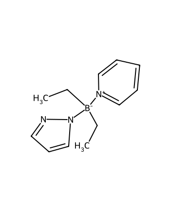 CC[B-](CC)(n1cccn1)[n+]1ccccc1